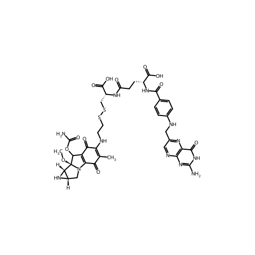 CO[C@@]12C(OC(N)=O)C3=C(C(=O)C(C)=C(NCCSSC[C@@H](NC(=O)CC[C@@H](NC(=O)c4ccc(NCc5cnc6nc(N)[nH]c(=O)c6n5)cc4)C(=O)O)C(=O)O)C3=O)N1C[C@@H]1N[C@@H]12